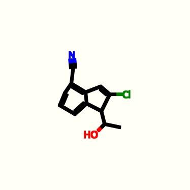 CC(O)C1C(Cl)=Cc2c(C#N)cccc21